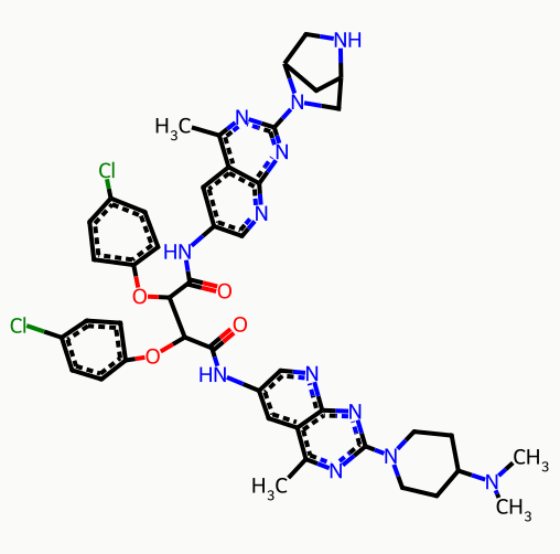 Cc1nc(N2CCC(N(C)C)CC2)nc2ncc(NC(=O)C(Oc3ccc(Cl)cc3)C(Oc3ccc(Cl)cc3)C(=O)Nc3cnc4nc(N5CC6CC5CN6)nc(C)c4c3)cc12